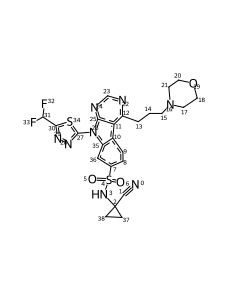 N#CC1(NS(=O)(=O)c2ccc3c4c(CCCN5CCOCC5)ncnc4n(-c4nnc(C(F)F)s4)c3c2)CC1